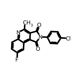 Cc1nc2ccc(F)cc2c2c1C(=O)N(c1ccc(Cl)cc1)C2=O